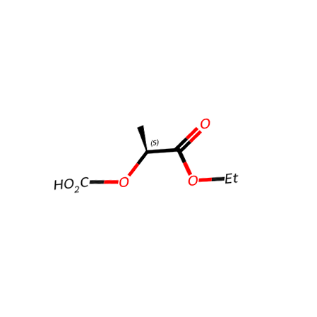 CCOC(=O)[C@H](C)OC(=O)O